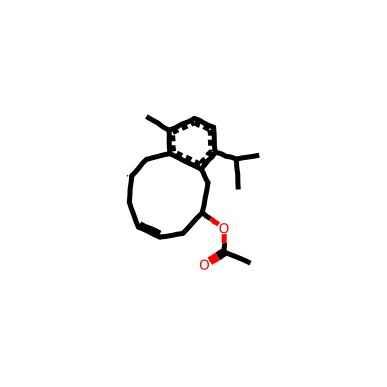 CC(=O)OC1C/C=C\C[CH]Cc2c(C)ccc(C(C)C)c2C1